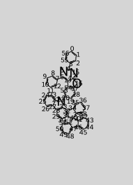 c1ccc(-c2nc(-c3ccccc3)c3c(n2)oc2ccc(-n4c5ccccc5c5ccc6c(c54)-c4ccccc4C64c5ccccc5-c5ccccc54)cc23)cc1